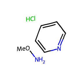 CON.Cl.c1ccncc1